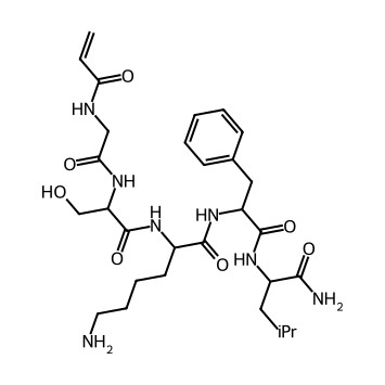 C=CC(=O)NCC(=O)NC(CO)C(=O)NC(CCCCN)C(=O)NC(Cc1ccccc1)C(=O)NC(CC(C)C)C(N)=O